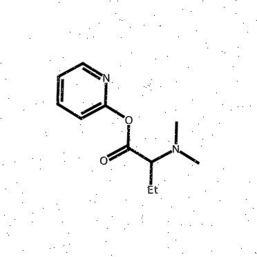 CCC(C(=O)Oc1ccccn1)N(C)C